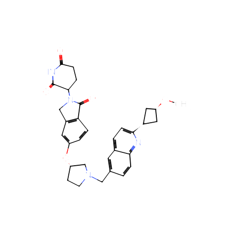 CO[C@H]1C[C@@H](c2ccc3cc(CN4CC[C@H](Oc5ccc6c(c5)CN(C5CCC(=O)NC5=O)C6=O)C4)ccc3n2)C1